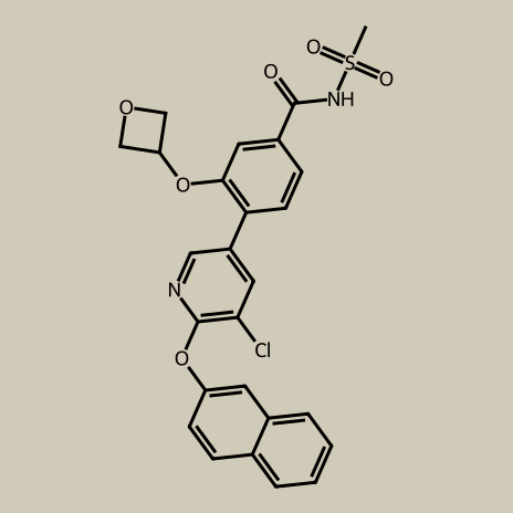 CS(=O)(=O)NC(=O)c1ccc(-c2cnc(Oc3ccc4ccccc4c3)c(Cl)c2)c(OC2COC2)c1